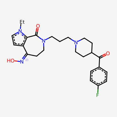 CCn1ccc2c1C(=O)N(CCCN1CCC(C(=O)c3ccc(F)cc3)CC1)CC/C2=N/O